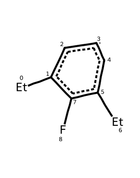 CCc1c[c]cc(CC)c1F